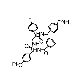 CCOc1ccc([C@@H](CNC(=O)c2ccccc2)C(=O)NC[C@H](C(=O)NCc2ccc(CN)cc2)c2ccc(F)cc2)cc1